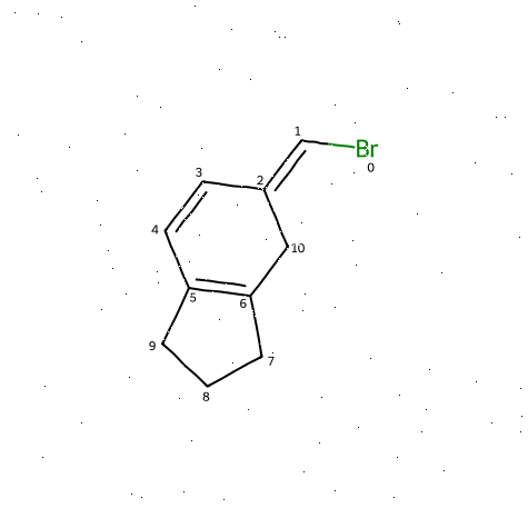 Br/C=C1/C=CC2=C(CCC2)C1